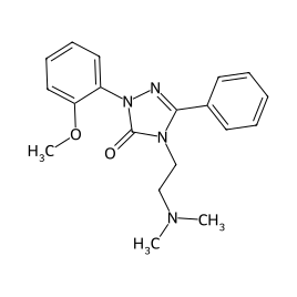 COc1ccccc1-n1nc(-c2ccccc2)n(CCN(C)C)c1=O